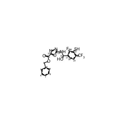 O=C(OCc1ccccc1)c1nnc(NC(O)c2ccc(C(F)(F)F)c(S)c2F)o1